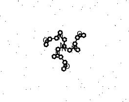 c1cc(-c2cc(-c3cccc(-n4c5ccccc5c5cc(-c6ccc7oc8ccccc8c7c6)ccc54)c3)nc(-c3cccc(-n4c5ccccc5c5cc(-c6ccc7oc8ccccc8c7c6)ccc54)c3)n2)cc(-n2c3ccccc3c3cc(-c4ccc5oc6ccccc6c5c4)ccc32)c1